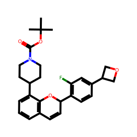 CC(C)(C)OC(=O)N1CCC(c2cccc3c2OC(c2ccc(C4COC4)cc2F)C=C3)CC1